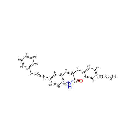 O=C(O)c1ccc(Cc2cc3cc(C#CCc4ccccc4)ccc3[nH]c2=O)cc1